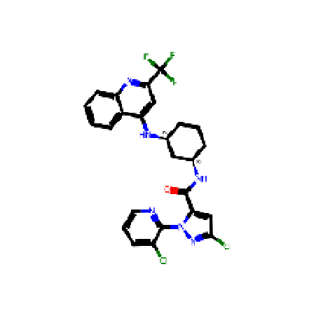 O=C(N[C@@H]1CCC[C@H](Nc2cc(C(F)(F)F)nc3ccccc23)C1)c1cc(Cl)nn1-c1ncccc1Cl